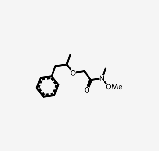 CON(C)C(=O)COC(C)Cc1ccccc1